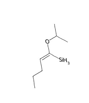 CCCC=C([SiH3])OC(C)C